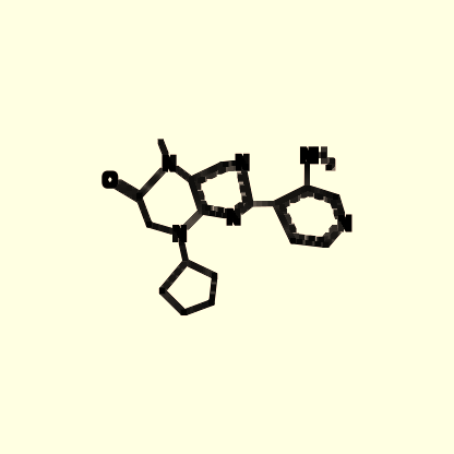 CN1C(=O)CN(C2CCCC2)c2nc(-c3ccncc3N)ncc21